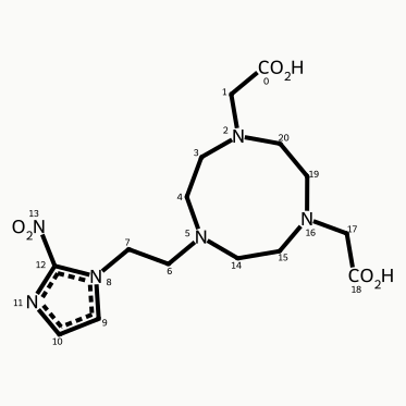 O=C(O)CN1CCN(CCn2ccnc2[N+](=O)[O-])CCN(CC(=O)O)CC1